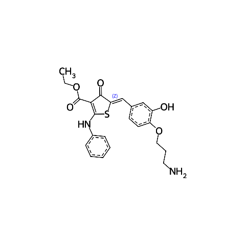 CCOC(=O)C1=C(Nc2ccccc2)S/C(=C\c2ccc(OCCCN)c(O)c2)C1=O